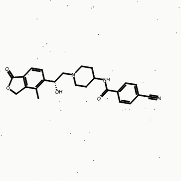 Cc1c([C@@H](O)CN2CCC(NC(=O)c3ccc(C#N)cc3)CC2)ccc2c1COC2=O